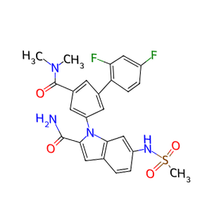 CN(C)C(=O)c1cc(-c2ccc(F)cc2F)cc(-n2c(C(N)=O)cc3ccc(NS(C)(=O)=O)cc32)c1